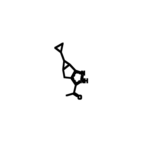 CC(=O)c1[nH]nc2c1CC1C2C1C1CC1